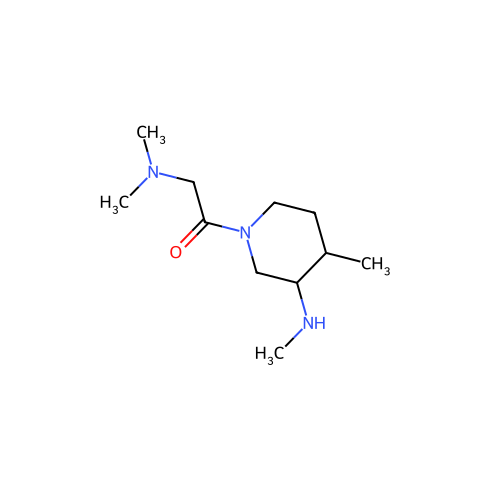 CNC1CN(C(=O)CN(C)C)CCC1C